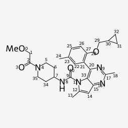 COCC(=O)N1CCC(NC(=O)n2c(C)cc3nc(C)nc(-c4cc(C)ccc4OCC4CC4)c32)CC1